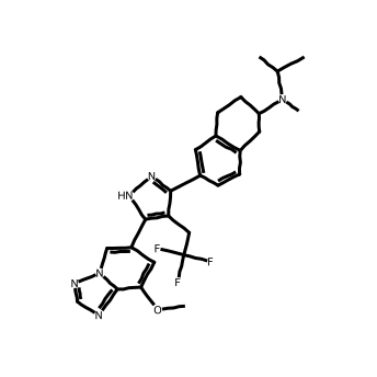 COc1cc(-c2[nH]nc(-c3ccc4c(c3)CCC(N(C)C(C)C)C4)c2CC(F)(F)F)cn2ncnc12